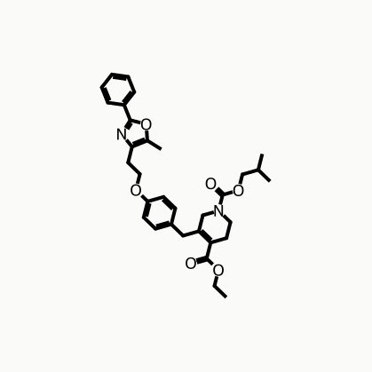 CCOC(=O)C1=C(Cc2ccc(OCCc3nc(-c4ccccc4)oc3C)cc2)CN(C(=O)OCC(C)C)CC1